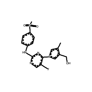 Cc1cn(-c2nc(Nc3ccc(S(C)(=O)=O)cc3)ncc2F)cc1CO